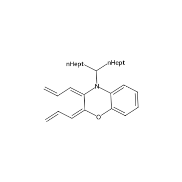 C=C/C=C1/Oc2ccccc2N(C(CCCCCCC)CCCCCCC)/C1=C/C=C